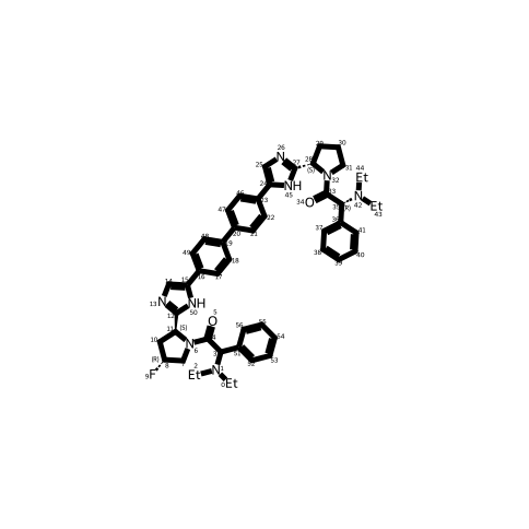 CCN(CC)C(C(=O)N1C[C@H](F)C[C@H]1c1ncc(-c2ccc(-c3ccc(-c4cnc([C@@H]5CCCN5C(=O)[C@@H](c5ccccc5)N(CC)CC)[nH]4)cc3)cc2)[nH]1)c1ccccc1